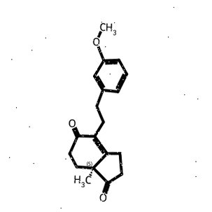 COc1cccc(CCC2=C3CCC(=O)[C@@]3(C)CCC2=O)c1